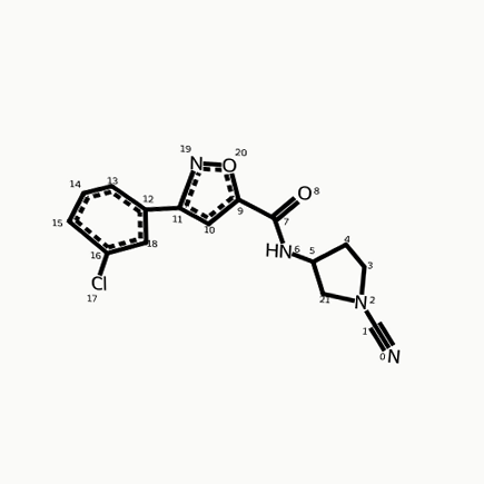 N#CN1CCC(NC(=O)c2cc(-c3cccc(Cl)c3)no2)C1